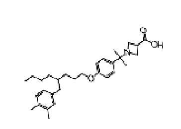 CCCCC(CCCOc1ccc(C(C)(C)N2CC(C(=O)O)C2)cc1)Cc1ccc(C)c(C)c1